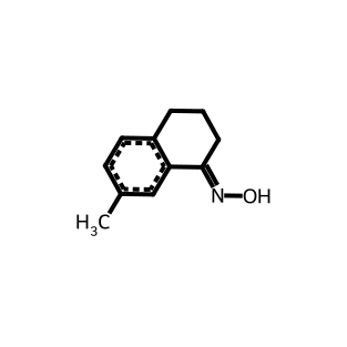 Cc1ccc2c(c1)C(=NO)CCC2